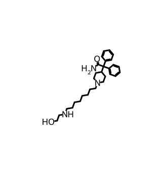 NC(=O)C(c1ccccc1)(c1ccccc1)C1CCN(CCCCCCCCNCCO)CC1